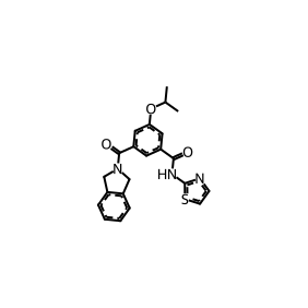 CC(C)Oc1cc(C(=O)Nc2nccs2)cc(C(=O)N2Cc3ccccc3C2)c1